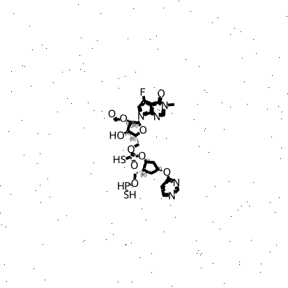 Cn1cnc2c(c(F)cn2[C@@H]2O[C@H](COP(=O)(S)O[C@H]3C[C@H](Oc4ccncn4)C[C@@H]3COPS)[C@@H](O)[C@H]2OC=O)c1=O